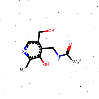 Cc1ncc(CO)c(CNC(=O)C(=O)O)c1O